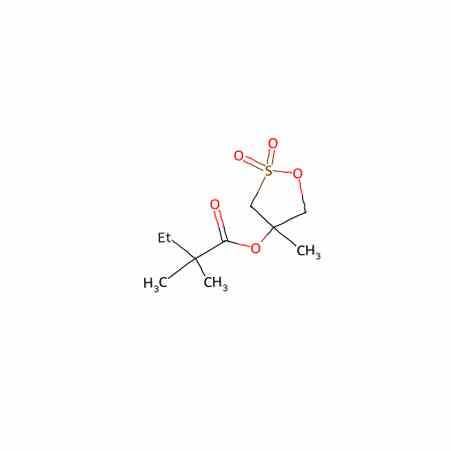 CCC(C)(C)C(=O)OC1(C)COS(=O)(=O)C1